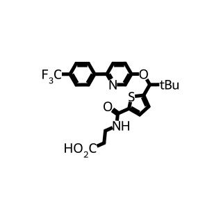 CC(C)(C)C(Oc1ccc(-c2ccc(C(F)(F)F)cc2)nc1)c1ccc(C(=O)NCCC(=O)O)s1